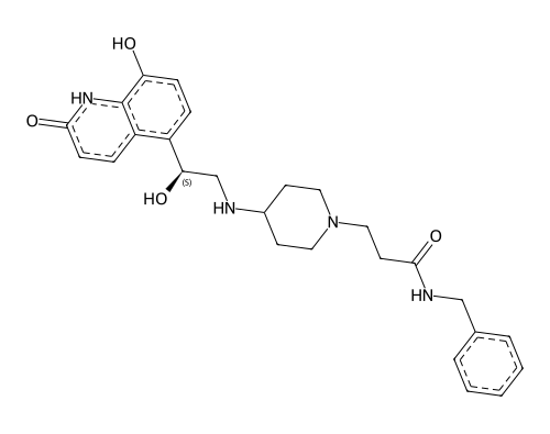 O=C(CCN1CCC(NC[C@@H](O)c2ccc(O)c3[nH]c(=O)ccc23)CC1)NCc1ccccc1